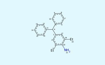 CCc1cc(C(c2ccccc2)c2ccccc2)cc(CC)c1N